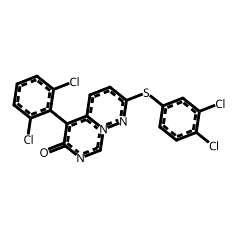 O=c1ncn2nc(Sc3ccc(Cl)c(Cl)c3)ccc2c1-c1c(Cl)cccc1Cl